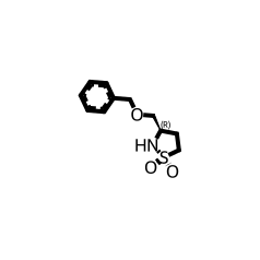 O=S1(=O)CC[C@H](COCc2ccccc2)N1